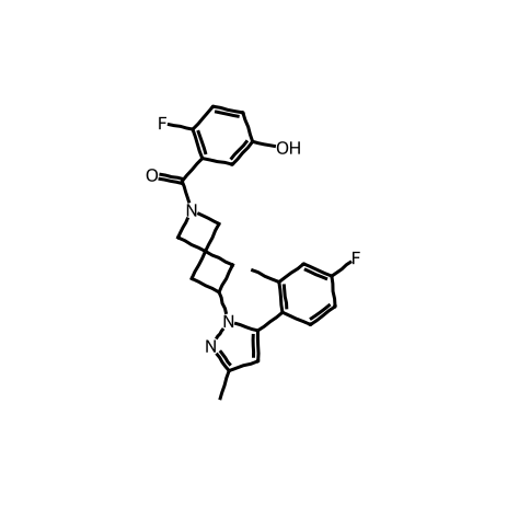 Cc1cc(-c2ccc(F)cc2C)n(C2CC3(C2)CN(C(=O)c2cc(O)ccc2F)C3)n1